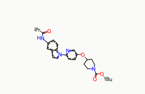 CC(C)C(=O)Nc1ccc2c(ccn2-c2ccc(OC3CCN(C(=O)OC(C)(C)C)CC3)cn2)c1